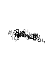 COC1=NC(N)C(C)(Cl)C=C1C(=O)N[C@H]1CCN(CC(=O)OCc2ccc(OC)c(OC)c2OC)C[C@H]1OC